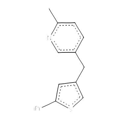 Cc1ccc(Cc2csc(C(C)C)c2)cn1